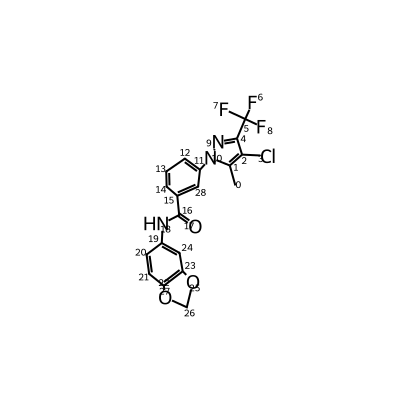 Cc1c(Cl)c(C(F)(F)F)nn1-c1cccc(C(=O)Nc2ccc3c(c2)OCO3)c1